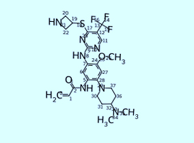 C=CC(=O)Nc1cc(Nc2ncc(C(F)(F)F)c(SC3CNC3)n2)c(OC)cc1N1CCC(N(C)C)CC1